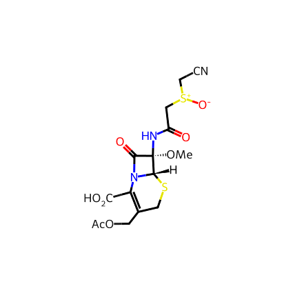 CO[C@@]1(NC(=O)C[S+]([O-])CC#N)C(=O)N2C(C(=O)O)=C(COC(C)=O)CS[C@H]21